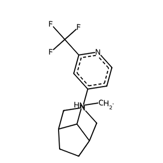 [CH2]NC1C2CCC1CN(c1ccnc(C(F)(F)F)c1)C2